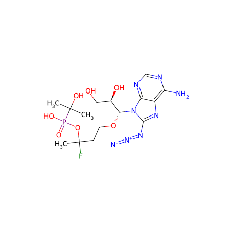 CC(F)(CCO[C@H]([C@H](O)CO)n1c(N=[N+]=[N-])nc2c(N)ncnc21)OP(=O)(O)C(C)(C)O